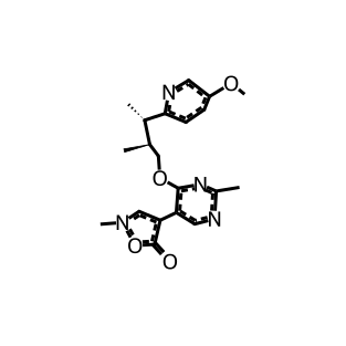 COc1ccc([C@@H](C)[C@H](C)COc2nc(C)ncc2-c2cn(C)oc2=O)nc1